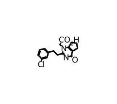 O=C(O)Cn1c(CCc2cccc(Cl)c2)nc(=O)c2c1CCC2